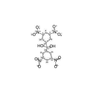 O=[N+]([O-])c1cc([N+](=O)[O-])cc(C(O)(O)c2cc([N+](=O)[O-])cc([N+](=O)[O-])c2)c1